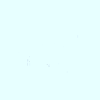 Cc1cccc2nc(NC(C)C)oc(=O)c12